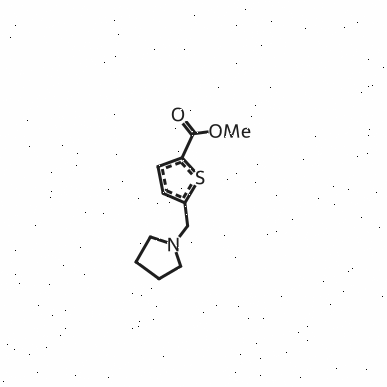 COC(=O)c1ccc(CN2CCCC2)s1